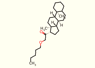 CCCCCOCC(=O)[C@H]1CC[C@H]2[C@@H]3CCC4CCCC[C@]4(C)[C@H]3CC[C@]12C